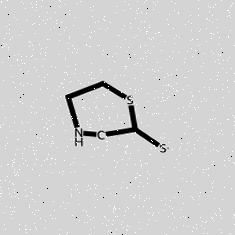 [S]C1CNCCS1